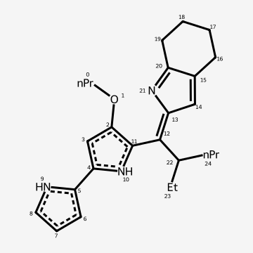 CCCOc1cc(-c2ccc[nH]2)[nH]c1C(=C1C=C2CCCCC2=N1)C(CC)CCC